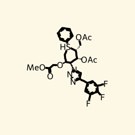 COC(=O)CO[C@H]1C[SH](c2ccccc2)[C@H](COC(C)=O)[C@H](OC(C)=O)[C@H]1n1cc(-c2cc(F)c(F)c(F)c2)nn1